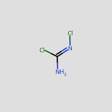 NC(Cl)=NCl